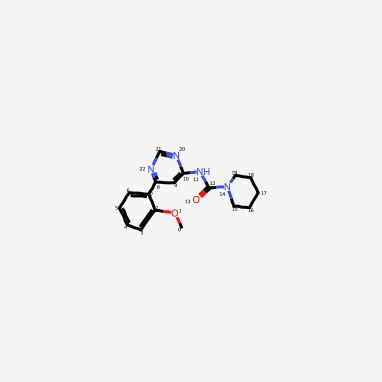 COc1ccccc1-c1cc(NC(=O)N2CCCCC2)ncn1